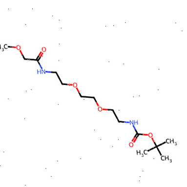 COCC(=O)NCCOCCOCCNC(=O)OC(C)(C)C